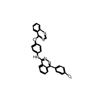 Clc1ccc(-c2nnc(Nc3ccc(Oc4ncnc5ccccc45)cc3)c3ccccc23)cc1